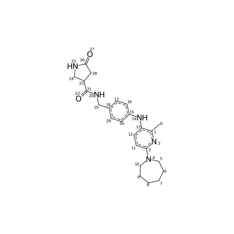 Cc1nc(N2CCCCCC2)ccc1Nc1ccc(CNC(=O)C2CNC(=O)C2)cc1